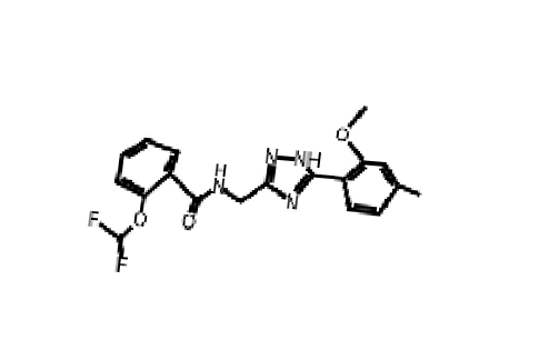 COc1cc(C)ccc1-c1nc(CNC(=O)c2ccccc2OC(F)F)n[nH]1